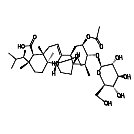 CC(=O)O[C@@H]1C[C@]23C4=CC[C@@]5(C)[C@H](C(=O)O)[C@@](C)([C@H](C)C(C)C)CC[C@]5(C)[C@H]4CC[C@H]2[C@](C)(COC3O)[C@H]1O[C@@H]1O[C@H](CO)[C@@H](O)[C@H](O)[C@H]1O